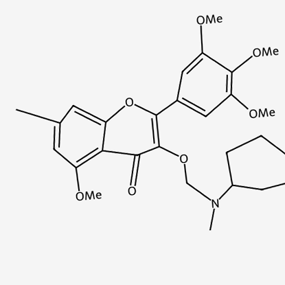 COc1cc(-c2oc3cc(C)cc(OC)c3c(=O)c2OCN(C)C2CCCCC2)cc(OC)c1OC